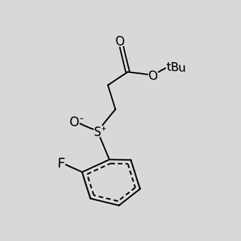 CC(C)(C)OC(=O)CC[S+]([O-])c1ccccc1F